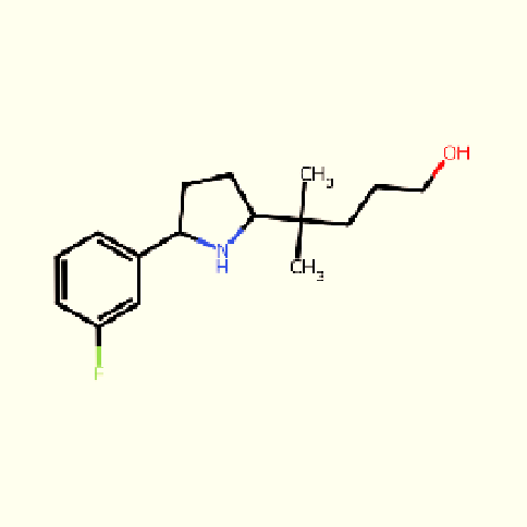 CC(C)(CCCO)C1CCC(c2cccc(F)c2)N1